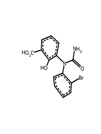 NC(=O)N(c1ccccc1Br)c1cccc(C(=O)O)c1O